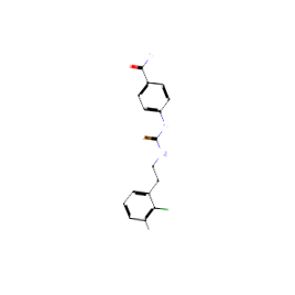 NC(=O)c1ccc(NC(=S)NCCc2cccc(C(F)(F)F)c2F)cc1